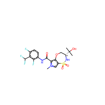 Cn1cc2c(c1C(=O)Nc1ccc(F)c(C(F)F)c1F)OC[C@H](C(C)(C)O)NS2(=O)=O